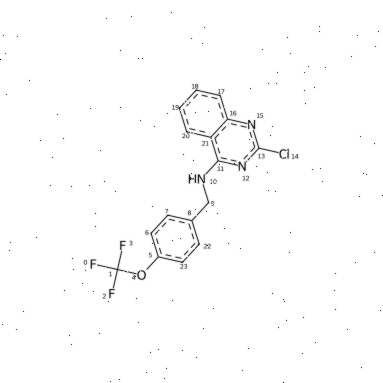 FC(F)(F)Oc1ccc(CNc2nc(Cl)nc3ccccc23)cc1